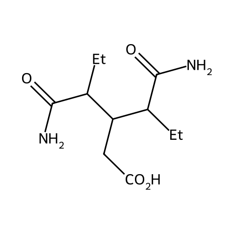 CCC(C(N)=O)C(CC(=O)O)C(CC)C(N)=O